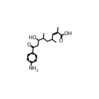 CC(=CC(C)CC(C)C(O)CC(=O)c1ccc(N)cc1)C(=O)O